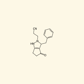 N#CCCN1NC2=C(C(=O)CC2)C1Cc1ccccc1